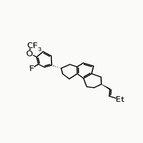 CCC=C[C@H]1CCc2c(ccc3c2CC[C@H](c2ccc(OC(F)(F)F)c(F)c2)C3)C1